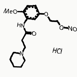 COc1ccc(OCCO[N+](=O)[O-])cc1NC(=O)CCN1CCCCC1.Cl